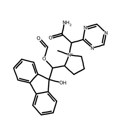 C[N+]1(C(C(N)=O)c2ncncn2)CCCC1C(OC=O)C1(O)c2ccccc2-c2ccccc21